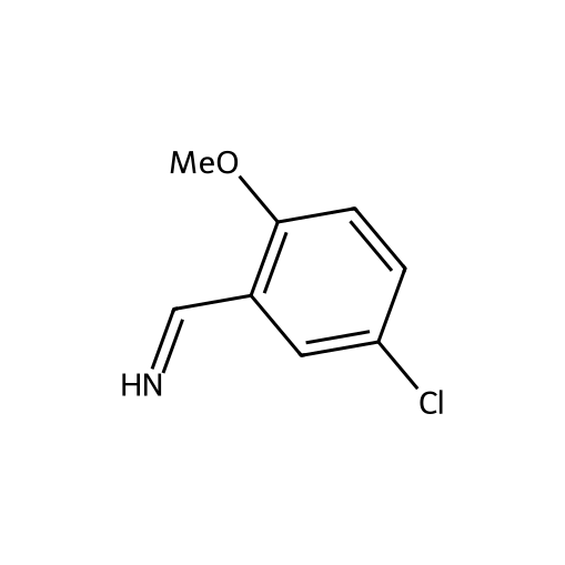 COc1ccc(Cl)cc1C=N